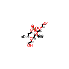 CCCCCCCCCCCCOS(=O)(=O)[O-].[Na+].[Na+].[O-]CCOCCOCCOCCO